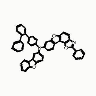 c1ccc(-c2nc3ccc4oc5cc(N(c6ccc(-c7ccccc7-c7ccccc7)cc6)c6ccc7oc8ccccc8c7c6)ccc5c4c3o2)cc1